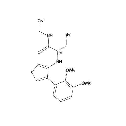 COc1cccc(-c2cscc2N[C@@H](CC(C)C)C(=O)NCC#N)c1OC